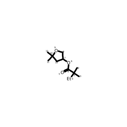 CCC(C)(C)C(=O)OC1COC(C)(C)C1